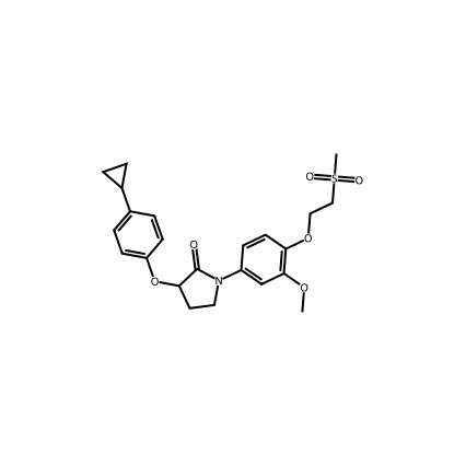 COc1cc(N2CCC(Oc3ccc(C4CC4)cc3)C2=O)ccc1OCCS(C)(=O)=O